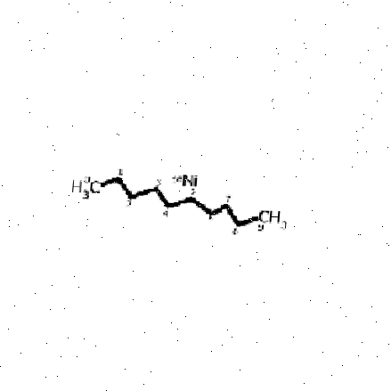 C[CH]CCCCCCCC.[Ni]